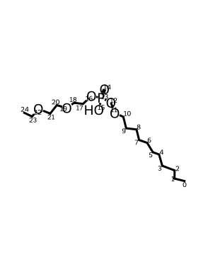 CCCCCCCCCCCOOP(=O)(O)OCCOCCOCC